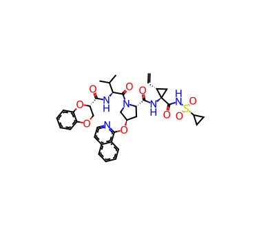 C=C[C@@H]1C[C@]1(NC(=O)[C@@H]1C[C@@H](Oc2nccc3ccccc23)CN1C(=O)[C@@H](NC(=O)[C@@H]1COc2ccccc2O1)C(C)C)C(=O)NS(=O)(=O)C1CC1